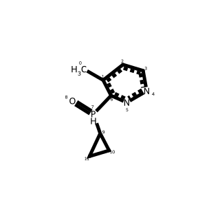 Cc1ccnnc1[PH](=O)C1CC1